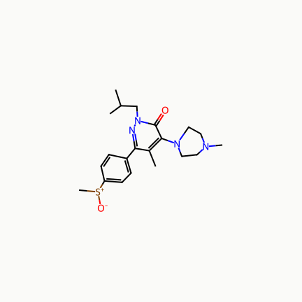 Cc1c(-c2ccc([S+](C)[O-])cc2)nn(CC(C)C)c(=O)c1N1CCN(C)CC1